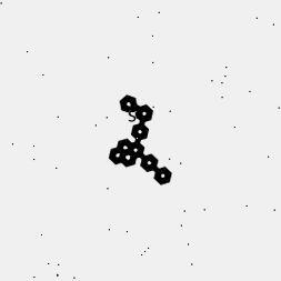 c1ccc(-c2ccc(-c3cc(-c4ccc(-c5cccc6c5sc5ccccc56)cc4)c4ccc5cccc6ccc3c4c65)cc2)cc1